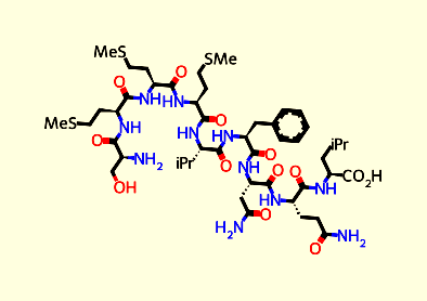 CSCC[C@H](NC(=O)[C@H](CCSC)NC(=O)[C@@H](N)CO)C(=O)N[C@@H](CCSC)C(=O)N[C@H](C(=O)N[C@@H](Cc1ccccc1)C(=O)N[C@@H](CC(N)=O)C(=O)N[C@@H](CCC(N)=O)C(=O)N[C@@H](CC(C)C)C(=O)O)C(C)C